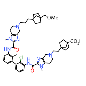 COCC12CCC(CCCN3CCc4c(nc(C(=O)Nc5cccc(-c6cccc(NC(=O)c7nc8c(n7C)CCN(CCC79CCC(C(=O)O)(CC7)C9)C8)c6Cl)c5C)n4C)C3)(CC1)C2